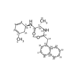 CC1=C[C]=C[C@@H](NC(=O)[C@H](C)NC(=O)Cc2cccc3ccccc23)C1